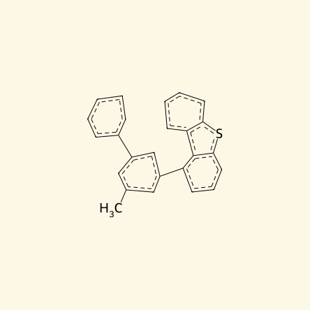 Cc1cc(-c2ccccc2)cc(-c2cccc3sc4ccccc4c23)c1